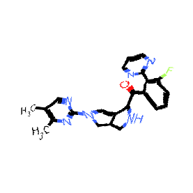 Cc1cnc(N2C=C3C(CNC3C(=O)c3cccc(F)c3-c3ncccn3)C2)nc1C